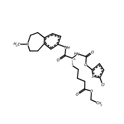 CCOC(=O)CCCC[C@@H](NC(=O)Oc1ccc(Cl)s1)C(=O)Nc1ccc2c(c1)CCN(C)CC2